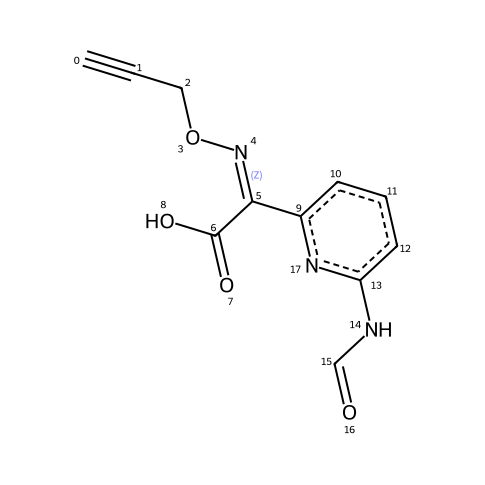 C#CCO/N=C(\C(=O)O)c1cccc(NC=O)n1